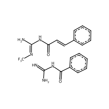 N=C(N)NC(=O)c1ccccc1.NC(=NC(F)(F)F)NC(=O)C=Cc1ccccc1